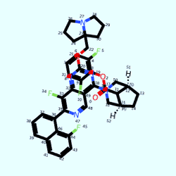 O=C(Oc1c(F)cccc1F)C1[C@@H]2CC[C@H]1CN(c1nc(OCC34CCCN3CCC4)nc3c(F)c(-c4cccc5cccc(F)c45)ncc13)C2